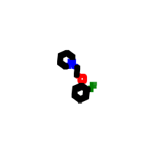 FC1=C[CH]CC=C1OCCN1CCCCC1